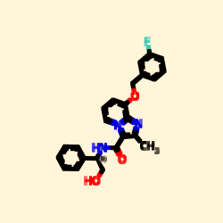 Cc1nc2c(OCc3cccc(F)c3)cccn2c1C(=O)N[C@@H](CO)c1ccccc1